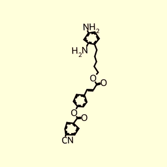 N#Cc1ccc(C(=O)Oc2ccc(C=CC(=O)OCCCCCc3ccc(N)cc3N)cc2)cc1